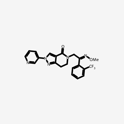 CO/N=C(/CN1CCc2nn(-c3cccnc3)cc2C1=O)c1ccccc1C(F)(F)F